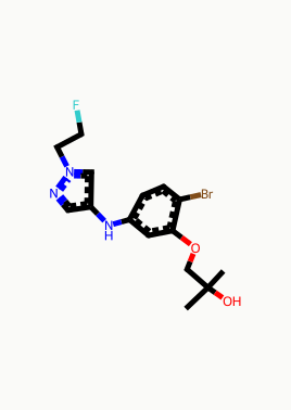 CC(C)(O)COc1cc(Nc2cnn(CCF)c2)ccc1Br